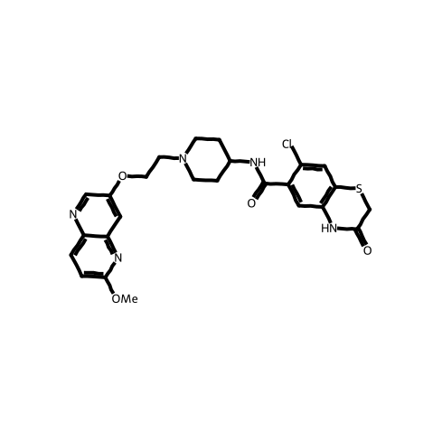 COc1ccc2ncc(OCCN3CCC(NC(=O)c4cc5c(cc4Cl)SCC(=O)N5)CC3)cc2n1